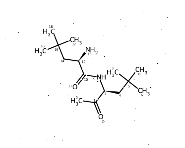 CC(=O)[C@H](CC(C)(C)C)NC(=O)[C@H](N)CC(C)(C)C